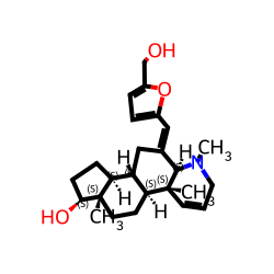 CN1CC=C[C@]2(C)[C@H]3CC[C@]4(C)[C@@H](O)CC[C@H]4[C@@H]3CC(=Cc3ccc(CO)o3)[C@@H]12